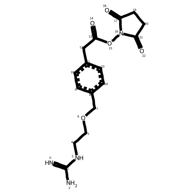 N=C(N)NCCOCc1ccc(CC(=O)ON2C(=O)CCC2=O)cc1